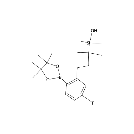 CC1(C)OB(c2ccc(F)cc2CCC(C)(C)[Si](C)(C)O)OC1(C)C